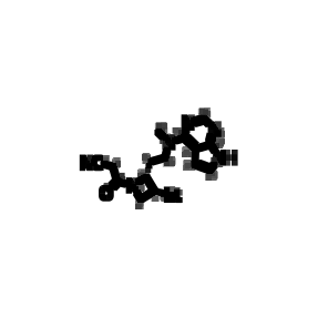 CC[C@H]1CN(C(=O)CC#N)[C@@H]1CCN(C)c1ncnc2[nH]ccc12